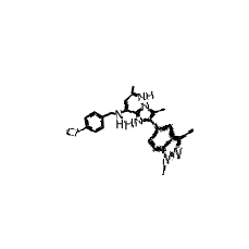 CC(=N)/C=C(/NCc1ccc(Cl)cc1)c1nc(C)c(-c2ccc3c(c2)c(C)nn3C)[nH]1